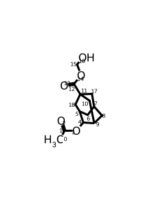 CC(=O)OC1C2CC3CC1CC(C(=O)OCO)(C3)C2